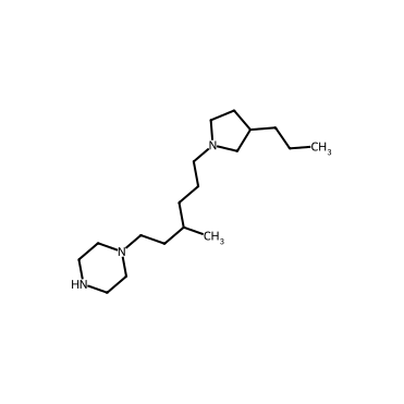 CCCC1CCN(CCCC(C)CCN2CCNCC2)C1